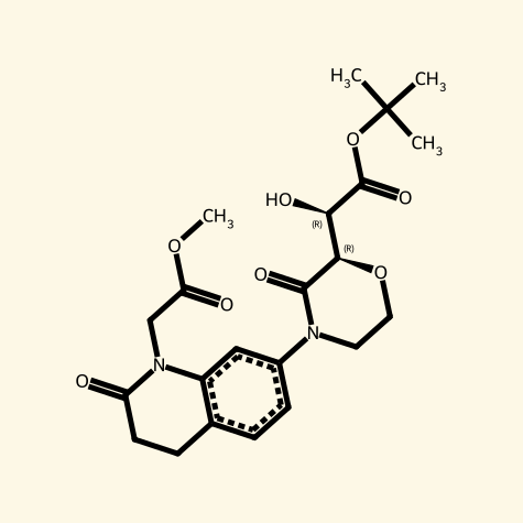 COC(=O)CN1C(=O)CCc2ccc(N3CCO[C@H]([C@@H](O)C(=O)OC(C)(C)C)C3=O)cc21